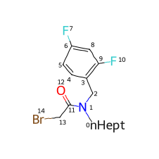 CCCCCCCN(Cc1ccc(F)cc1F)C(=O)CBr